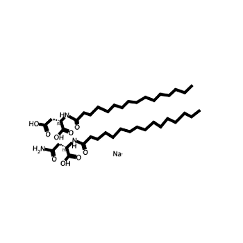 CCCCCCCCCCCCCCCC(=O)N[C@@H](CC(=O)O)C(=O)O.CCCCCCCCCCCCCCCC(=O)N[C@@H](CC(N)=O)C(=O)O.[Na]